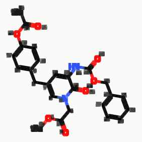 CC(C)(C)OC(=O)Cn1cc(Cc2ccc(OC(=O)C(C)(C)C)cc2)cc(NC(=O)OCc2ccccc2)c1=O